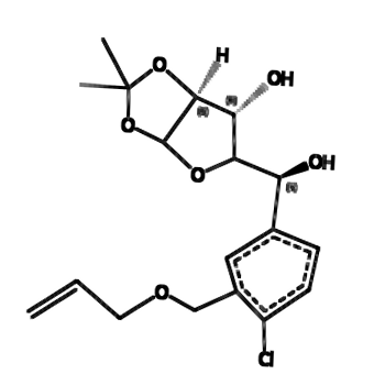 C=CCOCc1cc([C@H](O)C2OC3OC(C)(C)O[C@H]3[C@@H]2O)ccc1Cl